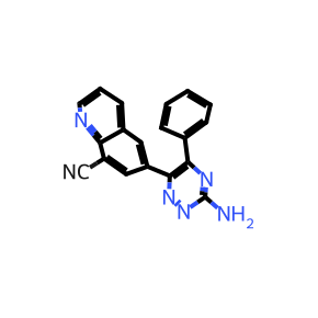 N#Cc1cc(-c2nnc(N)nc2-c2ccccc2)cc2cccnc12